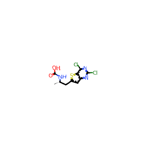 C[C@@H](Cc1cc2nc(Cl)nc(Cl)c2s1)NC(=O)O